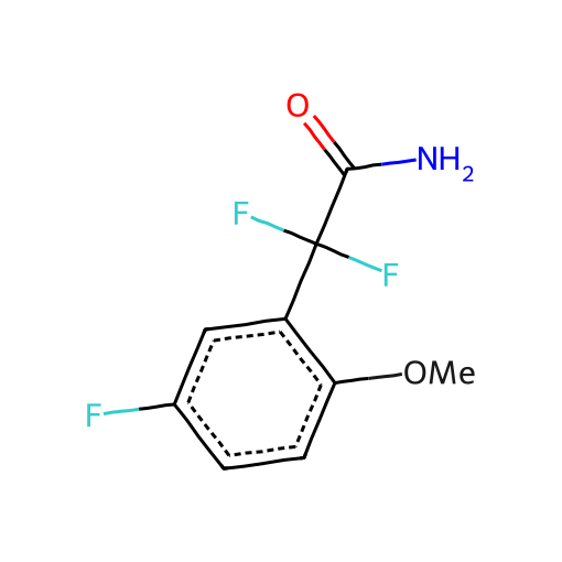 COc1ccc(F)cc1C(F)(F)C(N)=O